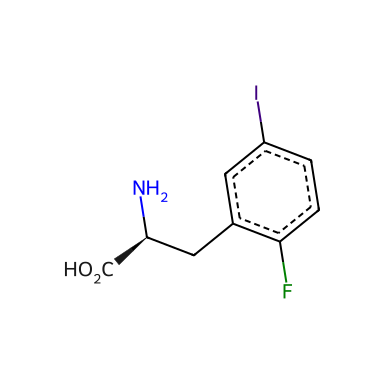 N[C@@H](Cc1cc(I)ccc1F)C(=O)O